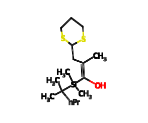 CCCC(C)(C)[Si](C)(C)C(O)=C(C)CC1SCCCS1